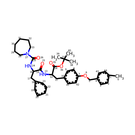 Cc1ccc(COc2ccc(CC(NC(=O)C(Cc3ccccc3)NC(=O)N3CCCCCC3)C(=O)OC(C)(C)C)cc2)cc1